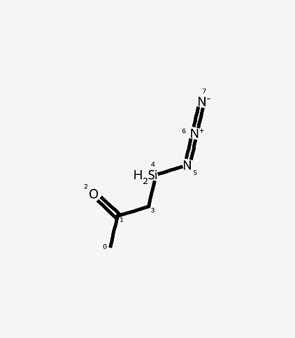 CC(=O)C[SiH2]N=[N+]=[N-]